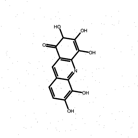 O=C1c2cc3ccc(O)c(O)c3nc2C(O)=C(O)C1O